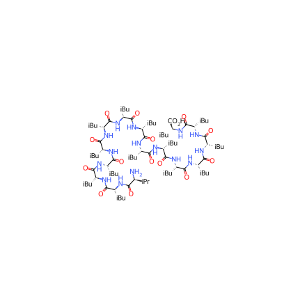 CC[C@H](C)[C@H](NC(=O)[C@@H](NC(=O)[C@@H](NC(=O)[C@@H](NC(=O)[C@@H](NC(=O)[C@@H](NC(=O)[C@@H](NC(=O)[C@@H](NC(=O)[C@@H](NC(=O)[C@@H](NC(=O)[C@@H](NC(=O)[C@@H](NC(=O)[C@@H](NC(=O)[C@@H](NC(=O)[C@@H](N)C(C)C)[C@@H](C)CC)[C@@H](C)CC)[C@@H](C)CC)[C@@H](C)CC)[C@@H](C)CC)[C@@H](C)CC)[C@@H](C)CC)[C@@H](C)CC)[C@@H](C)CC)[C@@H](C)CC)[C@@H](C)CC)[C@@H](C)CC)[C@@H](C)CC)C(=O)O